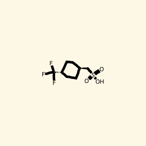 O=S(=O)(O)C[C@H]1CC[C@H](C(F)(F)F)CC1